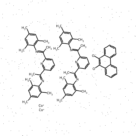 CC(=Nc1c(C)cc(C)cc1C)c1cccc(C(C)=Nc2c(C)cc(C)cc2C)n1.CC(=Nc1c(C)cc(C)cc1C)c1cccc(C(C)=Nc2c(C)cc(C)cc2C)n1.[Co+].[Co+].[O-]c1c([O-])c2ccccc2c2ccccc12